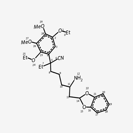 CCOc1cc(C(C#N)(CC)CCCC(N)CC2Oc3ccccc3O2)c(OCC)c(OC)c1OC